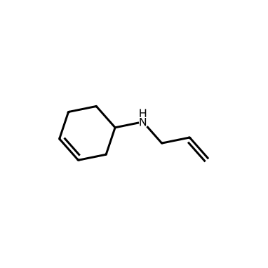 C=CCNC1CC=CCC1